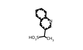 CC(c1[c]nc2ccccc2c1)S(=O)(=O)O